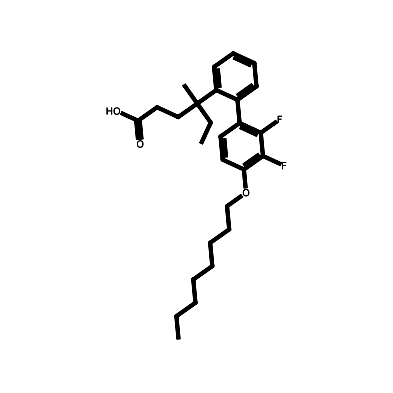 CCCCCCCCOc1ccc(-c2ccccc2C(C)(CC)CCC(=O)O)c(F)c1F